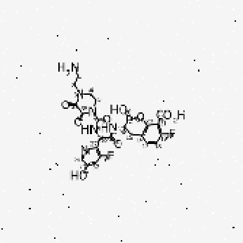 NCCN1CCN(C(=O)N[C@H](C(=O)N[C@H]2Cc3ccc(F)c(C(=O)O)c3OB2O)c2ncc(O)cc2F)C(=O)C1=O